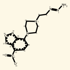 NN=NCCN1CCN(c2ccc([N+](=O)[O-])c3nonc23)CC1